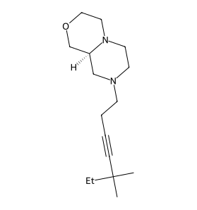 CCC(C)(C)C#CCCN1CCN2CCOC[C@@H]2C1